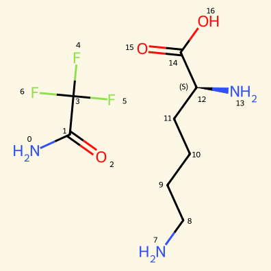 NC(=O)C(F)(F)F.NCCCC[C@H](N)C(=O)O